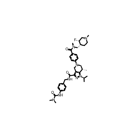 CC(C)n1nc(C(=O)NCc2ccc(NC(=O)N(C)C)cc2)c2c1[C@@H](C)CN(c1ccc(C(=O)N(C)C[C@H]3CCN(C)C[C@H]3F)cc1)C2